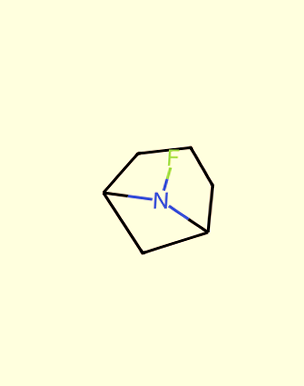 FN1C2CCCC1C2